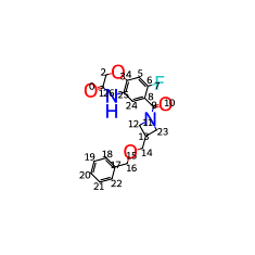 O=C1COc2cc(F)c(C(=O)N3CC(COCc4ccccc4)C3)cc2N1